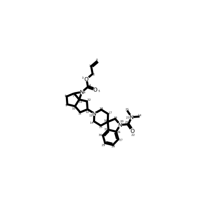 C=CCOC(=O)N1C2CCC3CC(N4CCC5(CC4)CN(C(=O)N(C)C)c4ccccc45)CC321